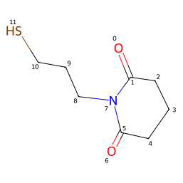 O=C1CCCC(=O)N1CCCS